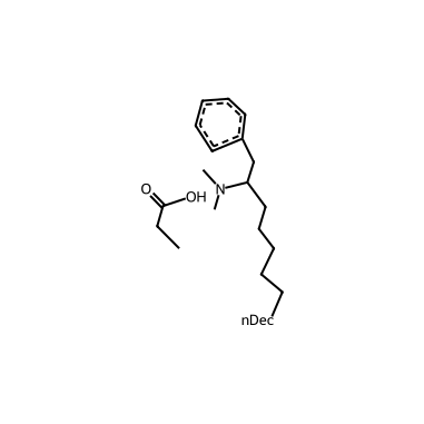 CCC(=O)O.CCCCCCCCCCCCCCCC(Cc1ccccc1)N(C)C